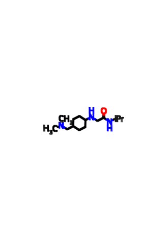 CC(C)NC(=O)CNC1CCC(CN(C)C)CC1